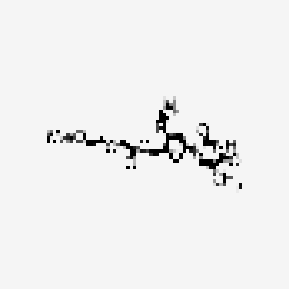 COCCOCC(=O)OCC1OC(n2cc(C)c(=O)[nH]c2=O)CC1N=[N+]=[N-]